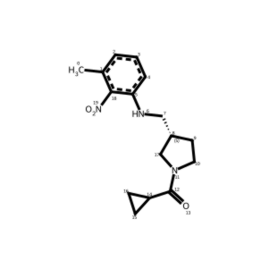 Cc1cccc(NC[C@@H]2CCN(C(=O)C3CC3)C2)c1[N+](=O)[O-]